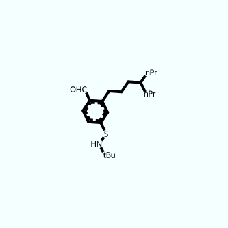 CCCC(CCC)CCCc1cc(SNC(C)(C)C)ccc1C=O